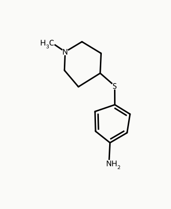 CN1CCC(Sc2ccc(N)cc2)CC1